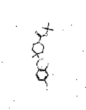 CC1(NCc2ccc(F)cc2F)CCN(C(=O)OC(C)(C)C)CC1